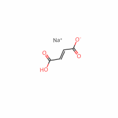 O=C([O-])C=CC(=O)O.[Na+]